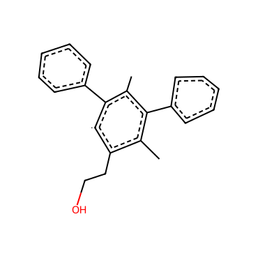 Cc1c(CCO)[c]c(-c2ccccc2)c(C)c1-c1ccccc1